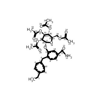 CCc1ccc(Cc2ccc(C(N)=O)cc2O[C@H]2O[C@H](COC(C)=O)[C@@H](OC(C)=O)[C@H](OC(C)=O)[C@H]2OC(C)=O)cc1